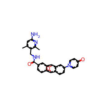 Cc1cc(N)nc(C)c1CNC(=O)c1ccc2c(c1)c1oc2c2ccc(-n3ccc(=O)cc3)cc21